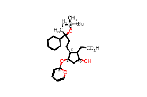 CC(CC[C@H]1C(CC(=O)O)[C@@H](O)C[C@H]1O[C@@H]1C=CC=CO1)(O[Si](C)(C)C(C)(C)C)C1CCCCC1